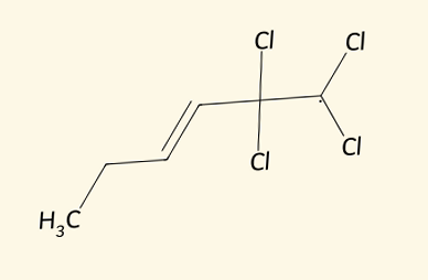 CCC=CC(Cl)(Cl)[C](Cl)Cl